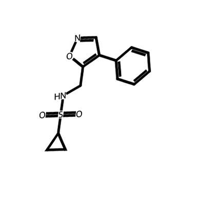 O=S(=O)(NCc1oncc1-c1ccccc1)C1CC1